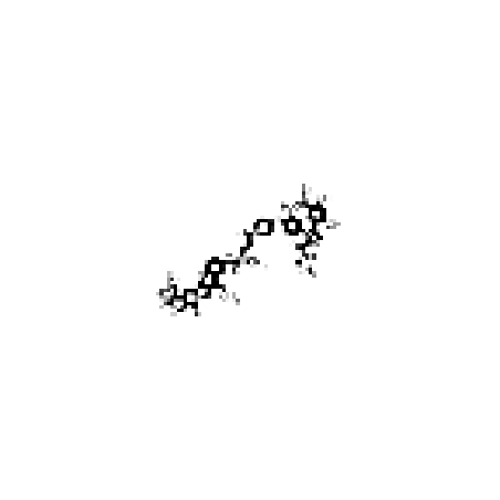 CCNC(=O)c1nnc(-c2cc(C(C)C)c(O)cc2O)n1-c1ccc(OC2CCN(C(=O)CCN(C)C(=O)Oc3ccc4nc5c(c(CC)c4c3)Cn3c-5cc4c(c3=O)COC(=O)[C@]4(O)CC)CC2)cc1